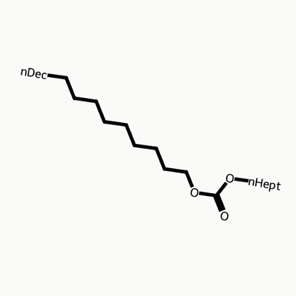 CCCCCCCCCCCCCCCCCCCOC(=O)OCCCCCCC